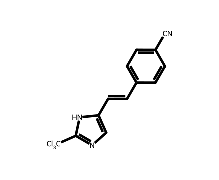 N#Cc1ccc(C=Cc2cnc(C(Cl)(Cl)Cl)[nH]2)cc1